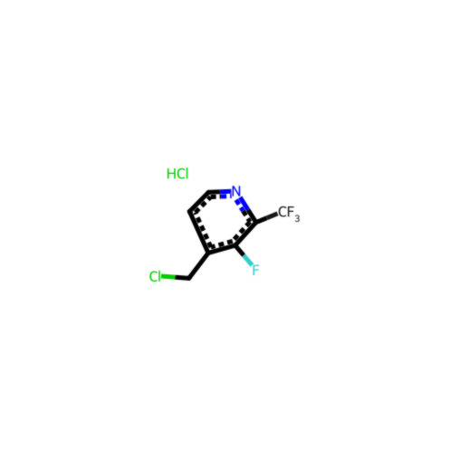 Cl.Fc1c(CCl)ccnc1C(F)(F)F